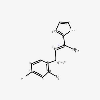 C[C@@H](/N=C(\N)c1nccs1)c1ccc(F)cc1Br